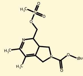 CC1=NC(COS(C)(=O)=O)C2CN(C(=O)OC(C)(C)C)CC2=C1C